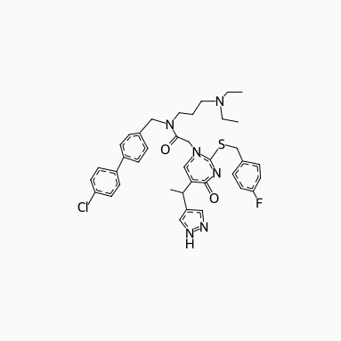 CCN(CC)CCCN(Cc1ccc(-c2ccc(Cl)cc2)cc1)C(=O)Cn1cc(C(C)c2cn[nH]c2)c(=O)nc1SCc1ccc(F)cc1